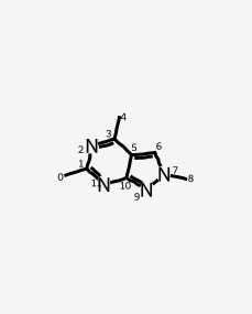 Cc1nc(C)c2cn(C)nc2n1